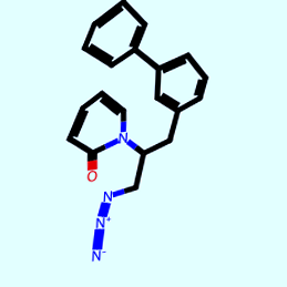 [N-]=[N+]=NCC(Cc1cccc(-c2ccccc2)c1)n1ccccc1=O